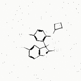 COc1ccc(OC2CCC2)c(C2(O)C(N)=Nc3ccc(Cl)cc32)c1